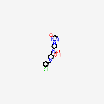 COc1ccnc(N2CCC(N(CC3CCN(Cc4cccc(Cl)c4)CC3)C(=O)O)CC2)n1